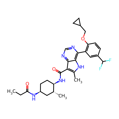 CCC(=O)N[C@H]1CC[C@@H](NC(=O)c2c(C)[nH]c3c(-c4cc(C(F)F)ccc4OCC4CC4)ncnc23)[C@H](C)C1